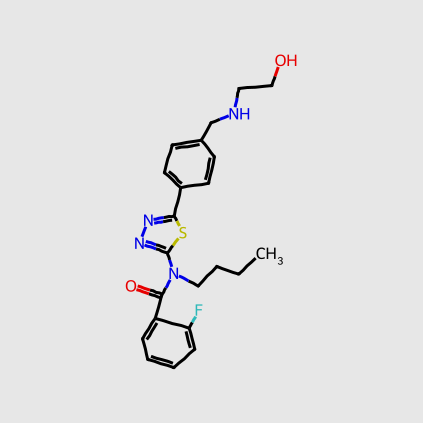 CCCCN(C(=O)c1ccccc1F)c1nnc(-c2ccc(CNCCO)cc2)s1